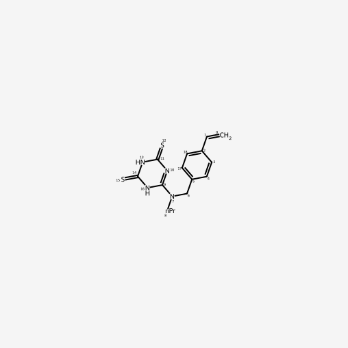 C=Cc1ccc(CN(CCC)c2nc(=S)[nH]c(=S)[nH]2)cc1